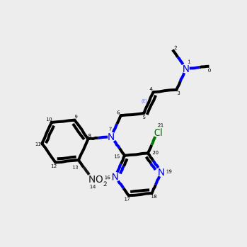 CN(C)C/C=C/CN(c1ccccc1[N+](=O)[O-])c1nccnc1Cl